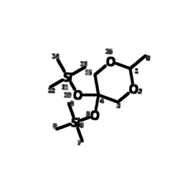 CC1OCC(O[Si](C)(C)C)(O[Si](C)(C)C)CO1